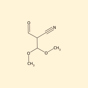 COC(OC)C(C#N)C=O